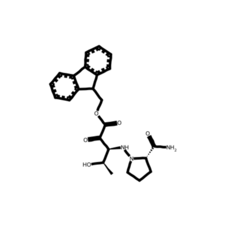 C[C@@H](O)[C@H](NN1CCC[C@H]1C(N)=O)C(=O)C(=O)OCC1c2ccccc2-c2ccccc21